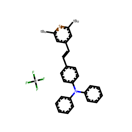 CC(C)(C)c1cc(/C=C/c2ccc(N(c3ccccc3)c3ccccc3)cc2)cc(C(C)(C)C)[s+]1.F[B-](F)(F)F